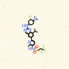 Cc1nc(-c2cc(C(C)C)c3nc(N[C@@H]4CC[C@@H](N(C)C)C(F)C4)ncc3c2)ccc1NS(=O)(=O)CCC(F)(F)F